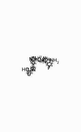 CC(N)(c1ccc(F)cc1)c1cnc(N2CCN(c3ncnn4cc(-c5cnn([C@H]6COC[C@@H]6O)c5)cc34)CC2)nc1